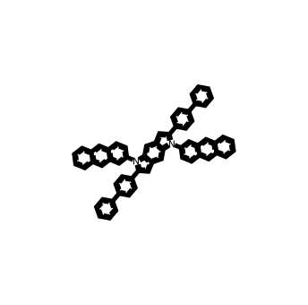 c1ccc(-c2ccc(-c3cc4cc5c(cc(-c6ccc(-c7ccccc7)cc6)n5-c5ccc6cc7ccccc7cc6c5)cc4n3-c3ccc4cc5ccccc5cc4c3)cc2)cc1